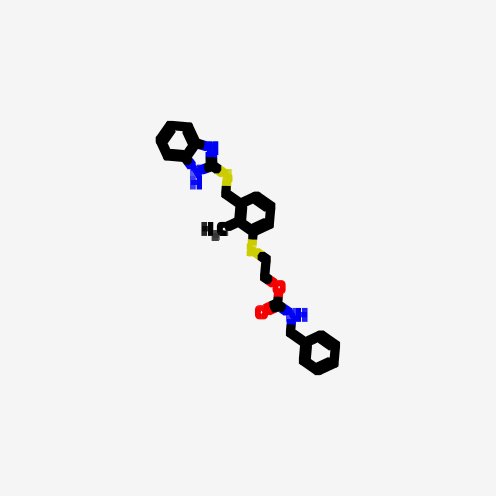 Cc1c(CSc2nc3ccccc3[nH]2)cccc1SCCOC(=O)NCc1ccccc1